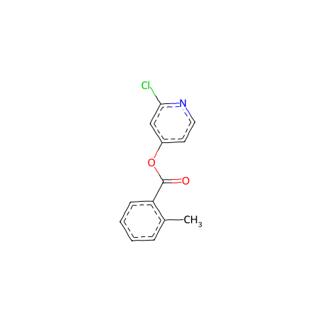 Cc1ccccc1C(=O)Oc1ccnc(Cl)c1